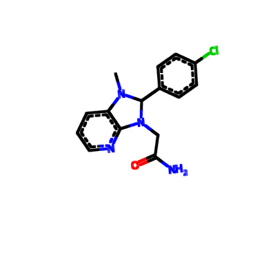 CN1c2cccnc2N(CC(N)=O)C1c1ccc(Cl)cc1